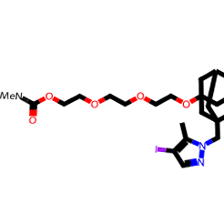 CNC(=O)OCCOCCOCCOC12CC3CC(CC(Cn4ncc(I)c4C)(C3)C1)C2